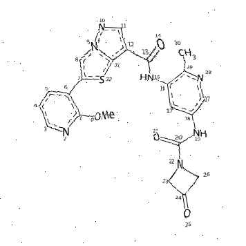 COc1ncccc1-c1cn2ncc(C(=O)Nc3cc(NC(=O)N4CC(=O)C4)cnc3C)c2s1